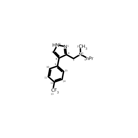 CCCN(C)Cc1n[nH]cc1-c1ccc(C(F)(F)F)cc1